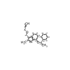 C#CCOCc1c(C)nc2c(OC(C)c3ccccc3)cccn12